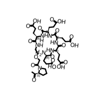 CC(=O)[C@@H]1CCCN1C(=O)COCCNC(=O)[C@@H](CCC(=O)O)NC(=O)[C@@H](CCC(=O)O)NC(=O)[C@@H](CCC(=O)O)NC(=O)[C@@H](CCC(=O)O)NC(=O)[C@H](N)CCC(=O)O